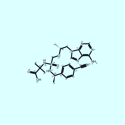 C[C@H](Cn1cnc2c(N)ncnc21)OCP(=O)(N[C@H](C)c1ccc(C#N)cc1)NC(C)(C)C(=O)O